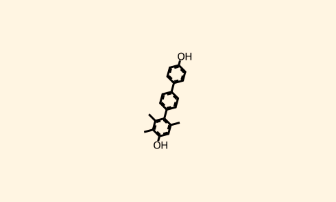 Cc1cc(O)c(C)c(C)c1-c1ccc(-c2ccc(O)cc2)cc1